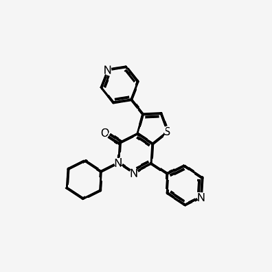 O=c1c2c(-c3ccncc3)csc2c(-c2ccncc2)nn1C1CCCCC1